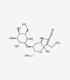 CCC(=O)C1(O)O[C@H](CO)[C@@H](O[C@@H]2O[C@H](CO)[C@H](O)[C@H](O)[C@H]2O)[C@H](O)[C@H]1NN=[N+]=[N-]